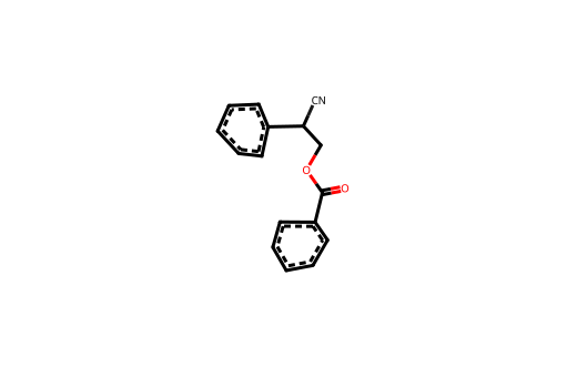 N#CC(COC(=O)c1ccccc1)c1ccccc1